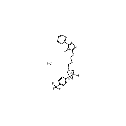 Cl.Cn1c(OCCCN2C[C@@H]3C[C@]3(c3ccc(C(F)(F)F)cc3)C2)nnc1-c1ccccc1